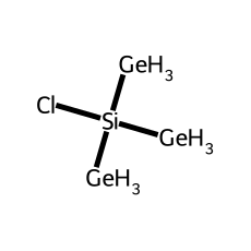 Cl[Si]([GeH3])([GeH3])[GeH3]